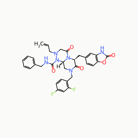 C=CCN1CC(=O)N2[C@@H](Cc3ccc4oc(=O)[nH]c4c3)C(=O)N(Cc3ccc(F)cc3F)C[C@@H]2N1C(=O)NCc1ccccc1